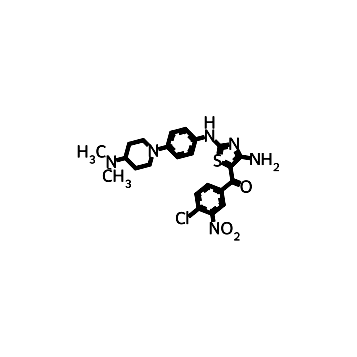 CN(C)C1CCN(c2ccc(Nc3nc(N)c(C(=O)c4ccc(Cl)c([N+](=O)[O-])c4)s3)cc2)CC1